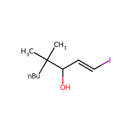 CCCCC(C)(C)C(O)/C=C/I